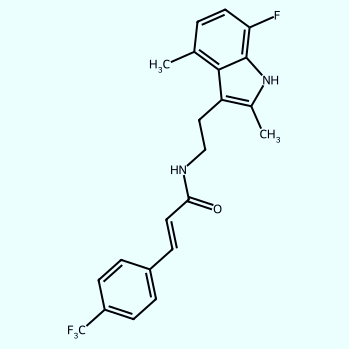 Cc1[nH]c2c(F)ccc(C)c2c1CCNC(=O)/C=C/c1ccc(C(F)(F)F)cc1